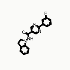 O=C(NN1CCc2ccccc21)c1cnc(-c2cccc(F)c2)nc1